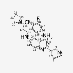 Nc1nc(-c2cccnc2)nc2ccc(NCCCN3CCCC3)c(-c3ccc(F)c(Cl)c3)c12